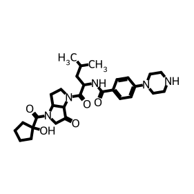 CC(C)CC(NC(=O)c1ccc(N2CCNCC2)cc1)C(=O)N1CCC2C1C(=O)CN2C(=O)C1(O)CCCC1